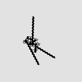 CCCCCCCCCCCCCCCCC(COC(C)=O)C(CBr)OP(=O)(OC(CBr)C(CCCCCCCCCCCCCCCC)COC(C)=O)OC(CBr)C(CCCCCCCCCCCCCCCC)COC(C)=O